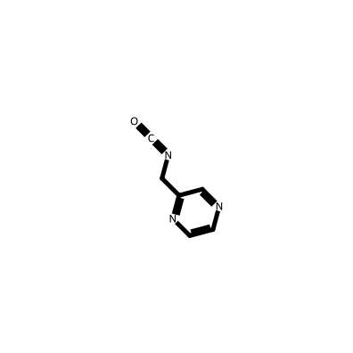 O=C=NCc1cnccn1